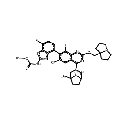 CC(C)(C)OC(=O)Nc1nc2c(-c3c(Cl)cc4c(N5CC6CCC(C(C)(C)C)(C5)N6C(=O)O)nc(OCC56CCCN5CCC6)nc4c3F)ccc(F)c2s1